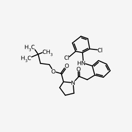 CC(C)(C)CCOC(=O)C1CCCN1C(=O)Cc1ccccc1Nc1c(Cl)cccc1Cl